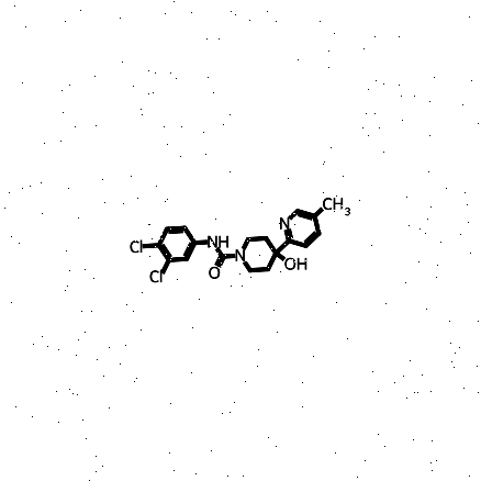 Cc1ccc(C2(O)CCN(C(=O)Nc3ccc(Cl)c(Cl)c3)CC2)nc1